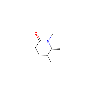 C=C1C(C)CCC(=O)N1C